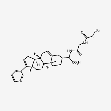 CC(C)(C)OC(=O)NCC(=O)NC(C(=O)O)[C@H]1CC[C@@]2(C)C(=CC[C@@H]3[C@@H]2CC[C@]2(C)C(c4cccnc4)=CC[C@@H]32)C1